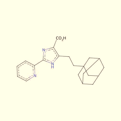 O=C(O)c1nc(-c2ccccn2)[nH]c1CCC12CC3CC(CC(C3)C1)C2